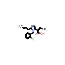 CC=C(C(=O)O)c1cnc(CCCC)n1Cc1ccccc1Cl